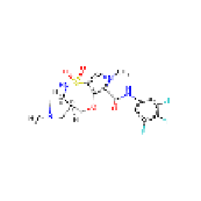 CN1C[C@@H]2COc3c(cn(C)c3C(=O)Nc3cc(F)c(F)c(F)c3)S(=O)(=O)N[C@@H]2C1